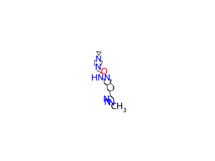 Cn1cc(-c2ccc3cnc(NC(=O)CN4CCN(C5CC5)CC4)cc3c2)nn1